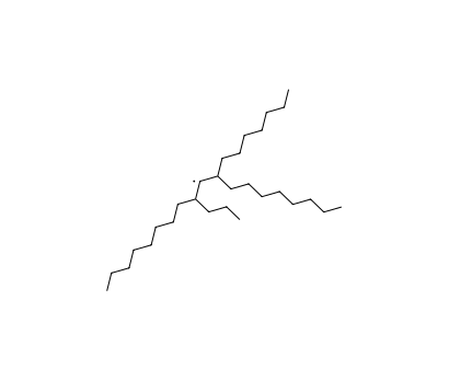 CCCCCCCCC([CH]C(CCCCCCC)CCCCCCCC)CCC